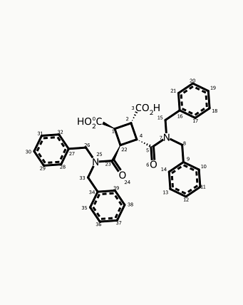 O=C(O)[C@H]1[C@H](C(=O)O)[C@H](C(=O)N(Cc2ccccc2)Cc2ccccc2)[C@H]1C(=O)N(Cc1ccccc1)Cc1ccccc1